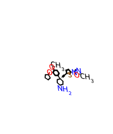 COc1ccc([C@]2(C#Cc3ccc(N4C=NC(C)O4)s3)CC[C@@H](N)CC2)cc1OC1CCCC1